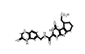 O=C(O)CC1CCCc2sc3nc(C(=O)NCc4ccc5c(c4)NC(=O)CO5)[nH]c(=O)c3c21